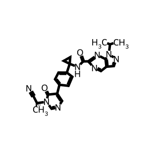 CC(C)n1ncc2cnc(C(=O)NC3(c4ccc(-c5cncn([C@H](C)C#N)c5=O)cc4)CC3)nc21